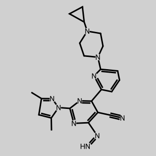 Cc1cc(C)n(-c2nc(N=N)c(C#N)c(-c3cccc(N4CCN(C5CC5)CC4)n3)n2)n1